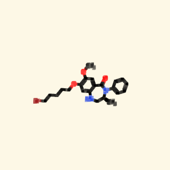 COc1cc2c(cc1OCCCCCBr)NC[C@H](C)N(c1ccccc1)C2=O